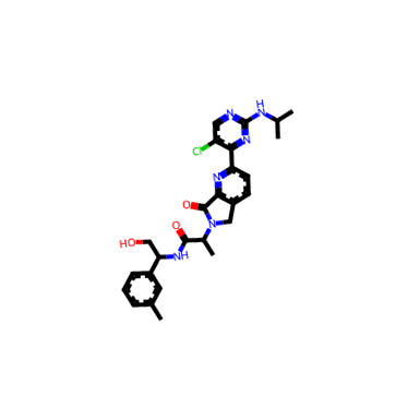 Cc1cccc(C(CO)NC(=O)C(C)N2Cc3ccc(-c4nc(NC(C)C)ncc4Cl)nc3C2=O)c1